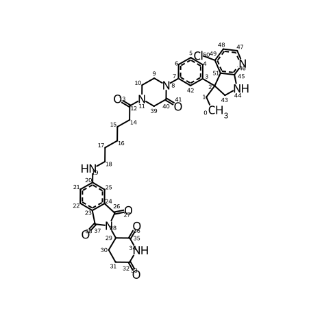 CCC1(c2cccc(N3CCN(C(=O)CCCCCNc4ccc5c(c4)C(=O)N(C4CCC(=O)NC4=O)C5=O)CC3=O)c2)CNc2nccc(Cl)c21